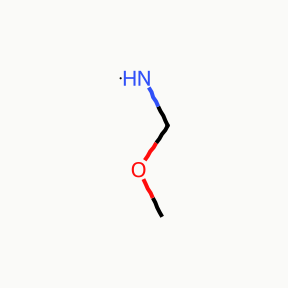 COC[NH]